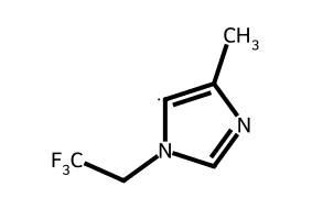 Cc1[c]n(CC(F)(F)F)cn1